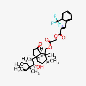 C=C[C@](C)(CC)[C@@H](O)[C@H](C)[C@]12CCC(=O)[C@H]1[C@](C)(COC(=O)COC(=O)/C=C/c1ccccc1C(F)(F)F)[C@H](C)CC2